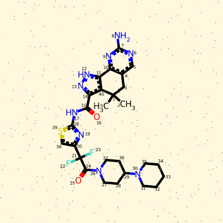 CC1(C)Cc2cnc(N)nc2-c2[nH]nc(C(=O)Nc3nc(C(F)(F)C(=O)N4CCC(N5CCCCC5)CC4)cs3)c21